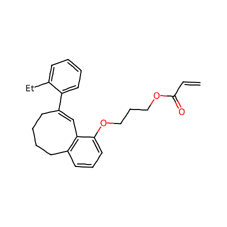 C=CC(=O)OCCCOc1cccc2c1/C=C(/c1ccccc1CC)CCCC2